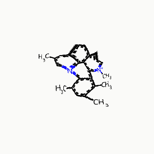 Cc1cc(C)c2c(c1C)c1c3c(ccc4c(C)cn2c43)cc[n+]1C